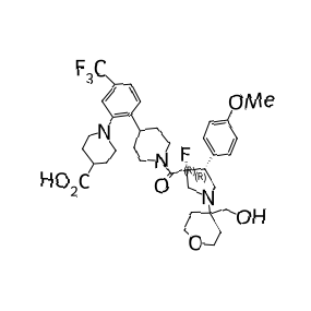 COc1ccc([C@@H]2CN(C3(CO)CCOCC3)C[C@@]2(F)C(=O)N2CCC(c3ccc(C(F)(F)F)cc3N3CCC(C(=O)O)CC3)CC2)cc1